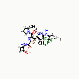 CC[C@H](Nc1cc(C)c(-c2sc(C(=O)N[C@@H]3CC[C@H]3O)nc2C(=O)N2CCC[C@@H]2C)cn1)C(F)(F)F